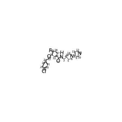 O=C(NCC1CCN(c2ccncc2)CC1)c1ccc(F)c(OCCc2ccc(Cl)cc2)c1